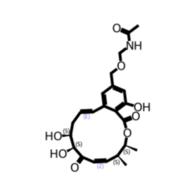 CC(=O)NCOCc1cc(O)c2c(c1)/C=C/C[C@H](O)[C@H](O)C(=O)/C=C\[C@H](C)[C@H](C)OC2=O